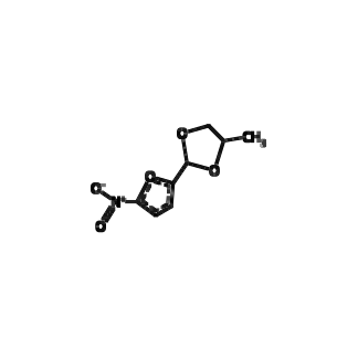 CC1COC(c2ccc([N+](=O)[O-])o2)O1